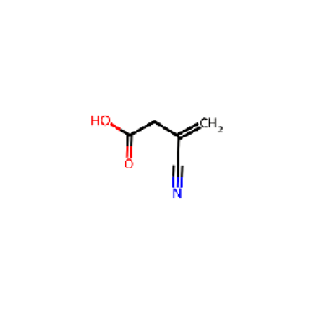 C=C(C#N)CC(=O)O